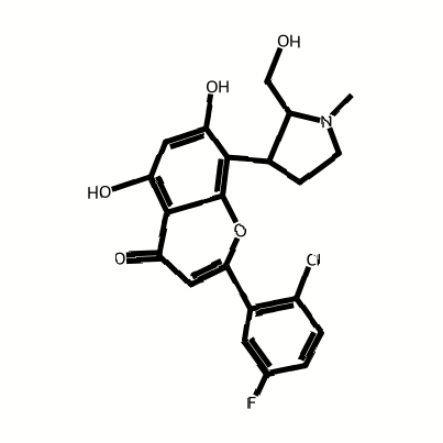 CN1CCC(c2c(O)cc(O)c3c(=O)cc(-c4cc(F)ccc4Cl)oc23)C1CO